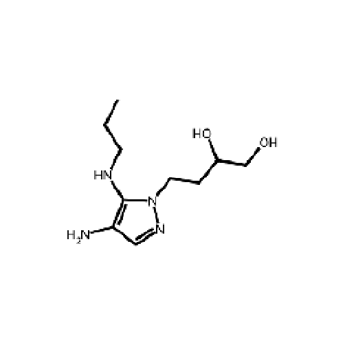 CCCNc1c(N)cnn1CCC(O)CO